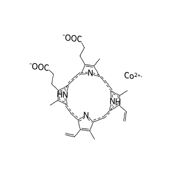 C=CC1=C(C)c2cc3[nH]c(cc4nc(cc5[nH]c(cc1n2)c(C)c5CCC(=O)[O-])C(CCC(=O)[O-])=C4C)c(C)c3C=C.[Co+2]